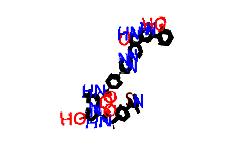 Cc1ncsc1-c1ccc([C@H](C)NC(=O)[C@@H]2C[C@@H](O)CN2C(=O)[C@@H](NC(=O)[C@H]2CC[C@@H](c3cnc(N4CCc5c(c(=O)[nH]c6nnc(-c7ccccc7O)cc56)C4)nc3)CC2)C(C)(C)C)cc1